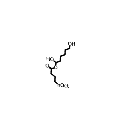 CCCCCCCCCCCC(=O)OC(O)CCCCCO